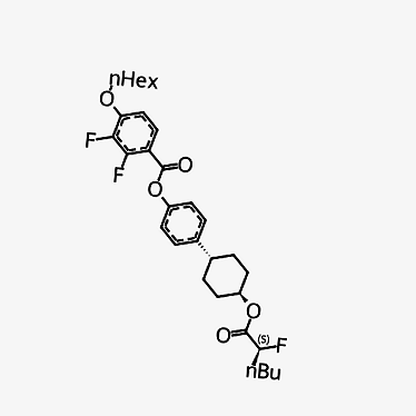 CCCCCCOc1ccc(C(=O)Oc2ccc([C@H]3CC[C@H](OC(=O)[C@@H](F)CCCC)CC3)cc2)c(F)c1F